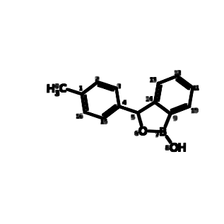 Cc1ccc(C2OB(O)c3ccccc32)cc1